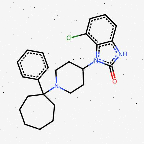 O=c1[nH]c2cccc(Cl)c2n1C1CCN(C2(c3ccccc3)CCCCCC2)CC1